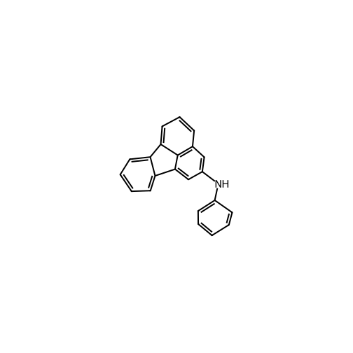 c1ccc(Nc2cc3c4c(cccc4c2)-c2ccccc2-3)cc1